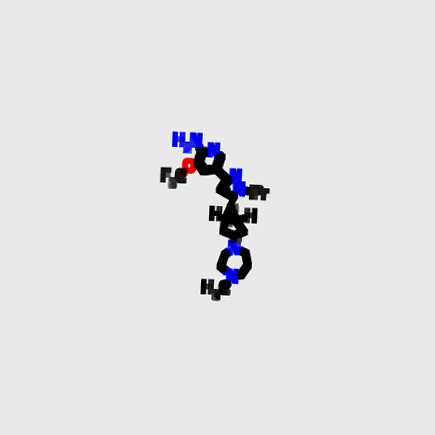 CC(C)n1nc(-c2cnc(N)c(OC(F)(F)F)c2)cc1[C@H]1[C@@H]2C[C@@H](N3CCCN(C)CC3)C[C@@H]21